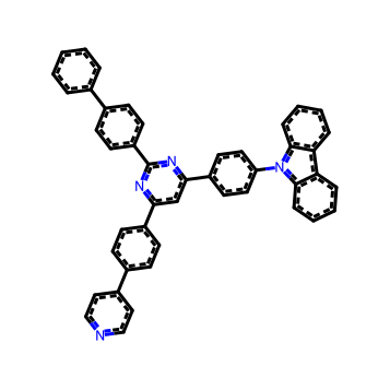 c1ccc(-c2ccc(-c3nc(-c4ccc(-c5ccncc5)cc4)cc(-c4ccc(-n5c6ccccc6c6ccccc65)cc4)n3)cc2)cc1